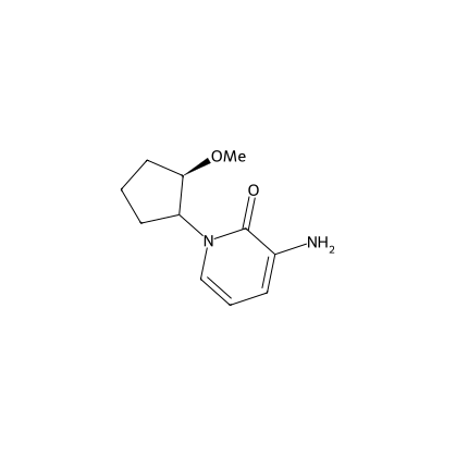 CO[C@@H]1CCCC1n1cccc(N)c1=O